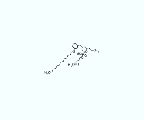 CCCCCCCCCCCCCOc1cccc(CC(COP(=O)(O)OCCCNC)CC(=O)CCC)c1